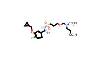 CCOC(=O)N(CCC(=O)O)COCCCS(=O)(=O)N[C@H](CC)c1ccc(F)c(OCC2CC2)c1